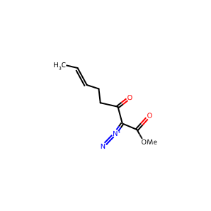 C/C=C/CCC(=O)C(=[N+]=[N-])C(=O)OC